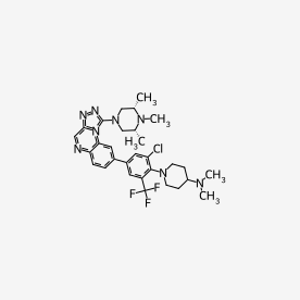 C[C@@H]1CN(c2nnc3cnc4ccc(-c5cc(Cl)c(N6CCC(N(C)C)CC6)c(C(F)(F)F)c5)cc4n23)C[C@H](C)N1C